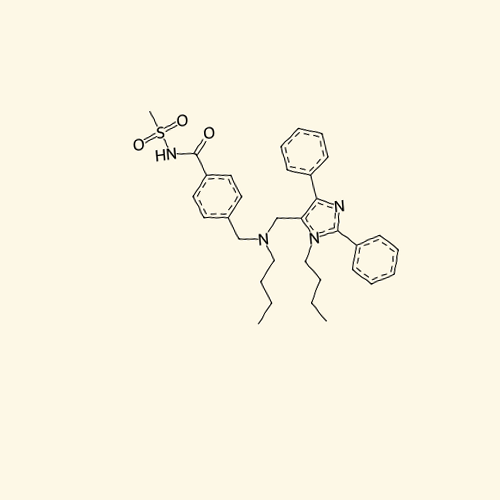 CCCCN(Cc1ccc(C(=O)NS(C)(=O)=O)cc1)Cc1c(-c2ccccc2)nc(-c2ccccc2)n1CCCC